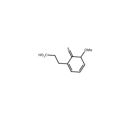 COC1C=CC=C(CCC(=O)O)C1=S